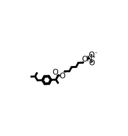 CC(C)Cc1ccc(C(C)C(=O)OCCCCCCO[N+](=O)[O-])cc1